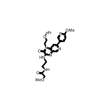 CCCOCCn1c(=O)c(NCCNC(=O)COC)nc2cnc(-c3ccc(OC)nc3)cc21